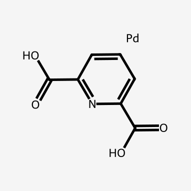 O=C(O)c1cccc(C(=O)O)n1.[Pd]